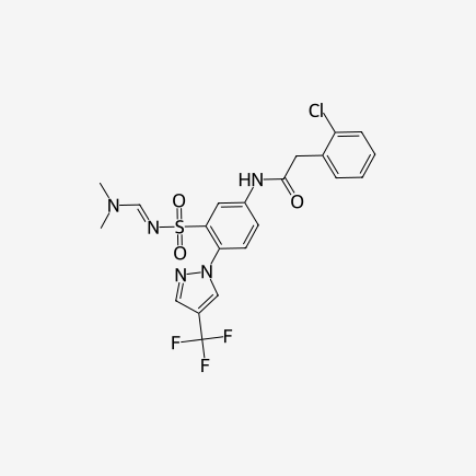 CN(C)C=NS(=O)(=O)c1cc(NC(=O)Cc2ccccc2Cl)ccc1-n1cc(C(F)(F)F)cn1